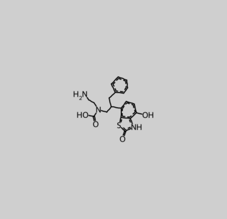 NCCN(CC(Cc1ccccc1)c1ccc(O)c2[nH]c(=O)sc12)C(=O)O